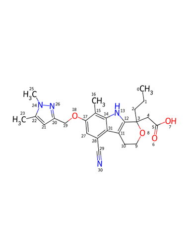 CCCC1(CC(=O)O)OCCc2c1[nH]c1c(C)c(OCc3cc(C)n(C)n3)cc(C#N)c21